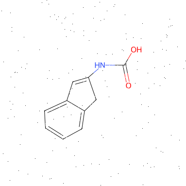 O=C(O)NC1=Cc2ccccc2C1